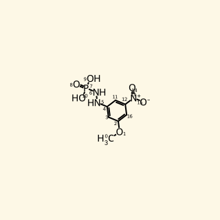 COc1cc(NNP(=O)(O)O)cc([N+](=O)[O-])c1